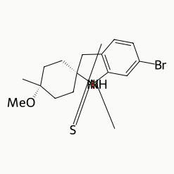 CO[C@]1(C)CC[C@]2(CC1)Cc1ccc(Br)cc1C21N=C(C)C(=S)N1